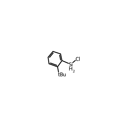 CC(C)(C)c1ccccc1[SiH2]Cl